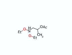 CCO[SiH](CC(C)OC(C)=O)OCC